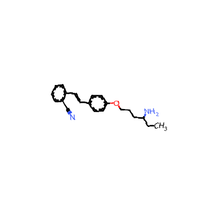 CCC(N)CCCOc1ccc(C=Cc2ccccc2C#N)cc1